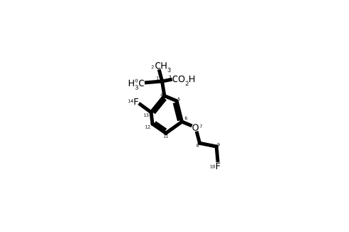 CC(C)(C(=O)O)c1cc(OCCF)ccc1F